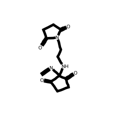 C=NC1(NCCN2C(=O)CCC2=O)C(=O)CCC1=O